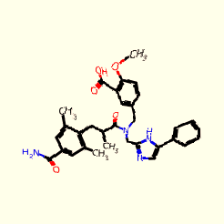 COc1ccc(CN(Cc2ncc(-c3ccccc3)[nH]2)C(=O)C(C)Cc2c(C)cc(C(N)=O)cc2C)cc1C(=O)O